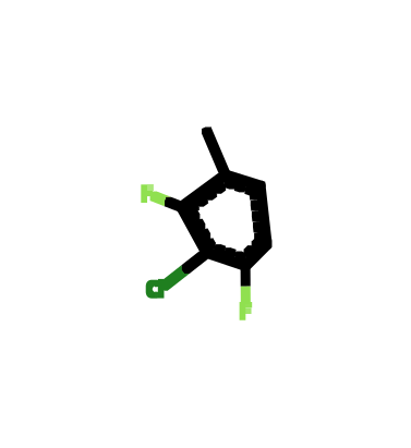 Cc1ccc(F)c(Cl)c1F